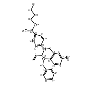 C=CCN(Cc1cc(Br)ccc1OCc1ccccc1)c1ccc(C(=O)OCCCC)nn1